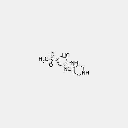 CS(=O)(=O)c1ccc(NC2(C#N)CCNCC2)cc1.Cl